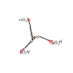 O=S(=O)(O)OCCCCCCCCCCCSCc1cc(CSCCCCCCCCCCCOS(=O)(=O)O)cc(CSCCCCCCCCCCCOS(=O)(=O)O)c1